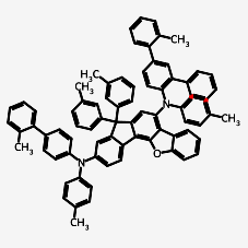 Cc1ccc(N(c2ccc(-c3ccccc3C)cc2)c2ccc3c(c2)C(c2cccc(C)c2)(c2cccc(C)c2)c2cc(N(c4ccc(C)cc4)c4ccc(-c5ccccc5C)cc4-c4ccccc4)c4c(oc5ccccc54)c2-3)cc1